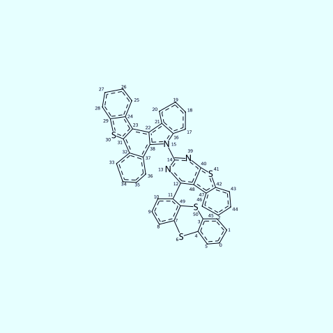 c1ccc2c(c1)Sc1cccc(-c3nc(-n4c5ccccc5c5c6c7ccccc7sc6c6ccccc6c54)nc4sc5ccccc5c34)c1S2